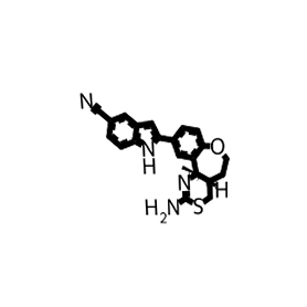 C[C@]12N=C(N)SC[C@H]1CCOc1ccc(-c3cc4cc(C#N)ccc4[nH]3)cc12